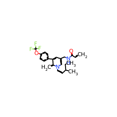 C=CC(=O)NCC1=CN(/C=C\C(C)CC)C(=C)C(c2ccc(OC(F)(F)F)cc2)=C1